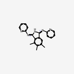 Cc1cc2c(c(C)c1C)/C(=N/c1ccccn1)N/C2=N/c1ccccn1